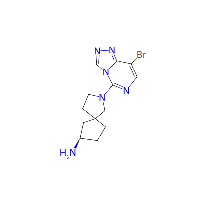 N[C@@H]1CCC2(CCN(c3ncc(Br)c4nncn34)C2)C1